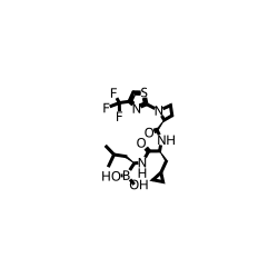 CC(C)C[C@@H](NC(=O)[C@H](CC1CC1)NC(=O)[C@@H]1CCN1c1nc(C(F)(F)F)cs1)B(O)O